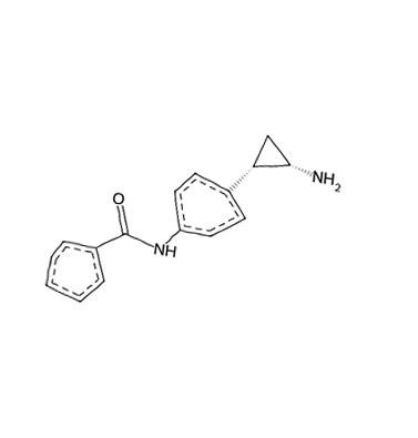 N[C@H]1C[C@H]1c1ccc(NC(=O)c2ccccc2)cc1